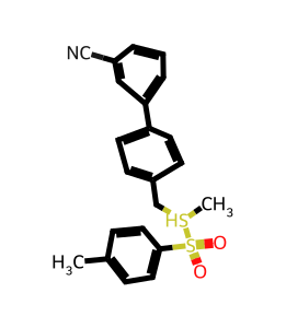 Cc1ccc(S(=O)(=O)[SH](C)Cc2ccc(-c3cccc(C#N)c3)cc2)cc1